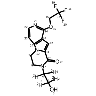 [2H]C([2H])(O)C([2H])([2H])N1CCn2c(cc3c(OCC(F)(F)F)nccc32)C1=O